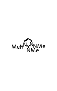 CNC1N(NC)C=CCN1NC